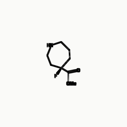 COC(=O)[C@@]1(F)CCCNCC1